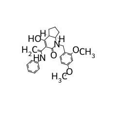 C=C(Nc1ccccc1)C1=C(O)[C@H]2CCC[C@H]2N(Cc2ccc(OC)cc2OC)C1=O